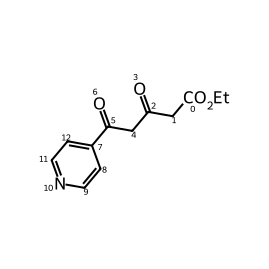 CCOC(=O)CC(=O)CC(=O)c1ccncc1